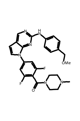 COCc1ccc(Nc2ncc3ccn(-c4cc(F)c(C(=O)N5CCN(C)CC5)c(F)c4)c3n2)cc1